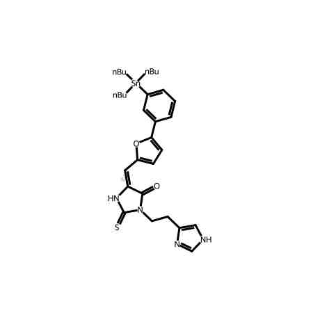 CCC[CH2][Sn]([CH2]CCC)([CH2]CCC)[c]1cccc(-c2ccc(/C=C3/NC(=S)N(CCc4c[nH]cn4)C3=O)o2)c1